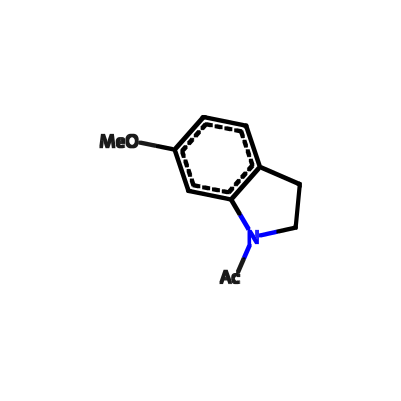 COc1ccc2c(c1)N(C(C)=O)CC2